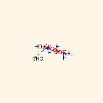 CCCCNC(=O)COCCOCCNC(=O)COCCOCCNC(=O)CC[C@H](NC(=O)CCCCCCCCCCCCCCCCC=O)C(=O)O